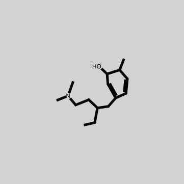 CCC(CCN(C)C)CC1=CC(O)C(C)C=C1